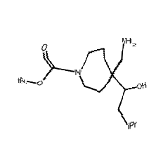 CC(C)CC(O)C1(CN)CCN(C(=O)OC(C)(C)C)CC1